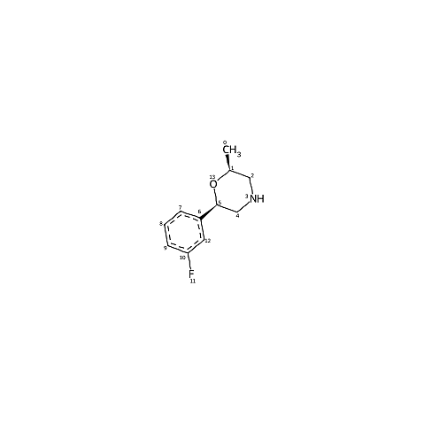 C[C@H]1CNC[C@@H](c2cccc(F)c2)O1